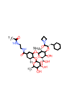 CC[C@@H]1CC(C(=O)NCCNC(=O)C(F)(F)F)CC(O[C@@H]2O[C@@H](CO)C(O)C(O[C@@H](CC3CCCCC3)C(=O)N3CCC3)C2NC(C)=O)C1OC1OC(C)C(O)C(O)C1O